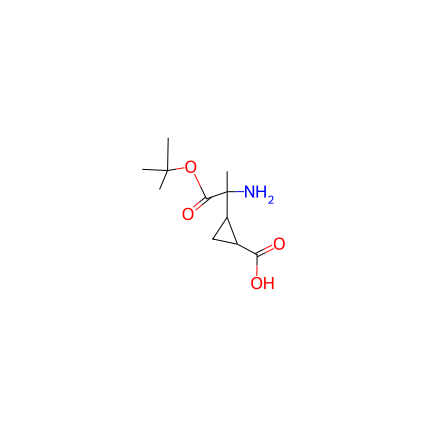 CC(C)(C)OC(=O)C(C)(N)C1CC1C(=O)O